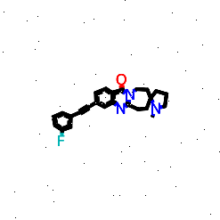 CN1CCCC12CCc1nc3cc(C#Cc4cccc(F)c4)ccc3c(=O)n1CC2